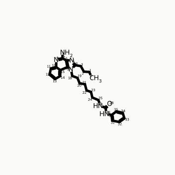 CCCCc1nc2c(N)nc3ccccc3c2n1CCCCCCCCNC(=O)Nc1ccccc1